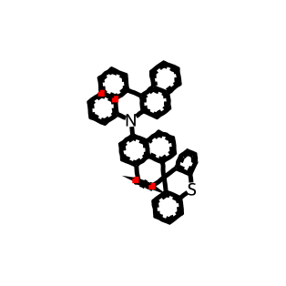 c1ccc(-c2c(N(c3ccccc3)c3ccc4c5c(cccc35)C3(c5ccccc5Sc5ccccc53)c3ccccc3-4)ccc3ccccc23)cc1